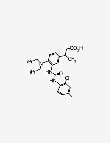 Cc1ccc(NC(=O)Nc2cc(C(CC(=O)O)C(F)(F)F)ccc2N(CC(C)C)CC(C)C)c(Cl)c1